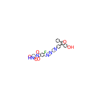 O=C1CCC(N2C(=O)c3cc(F)c(CN4CCN(C5CCN(c6ccc([C@@H]7c8ccc(O)cc8OC[C@@H]7c7ccccc7)cc6)CC5)CC4)cc3C2=O)C(=O)N1